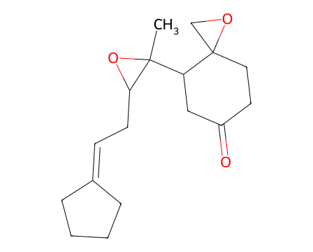 CC1(C2CC(=O)CCC23CO3)OC1CC=C1CCCC1